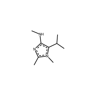 CNc1nc(C)n(C)c1C(C)C